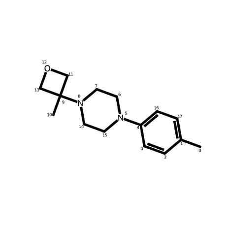 Cc1ccc(N2CCN(C3(C)COC3)CC2)cc1